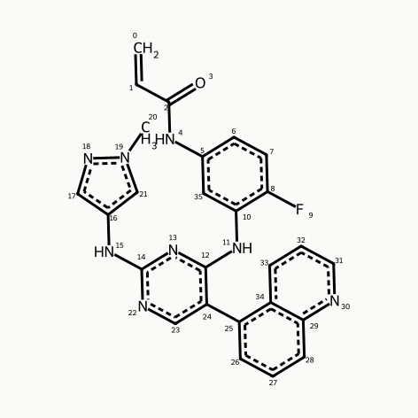 C=CC(=O)Nc1ccc(F)c(Nc2nc(Nc3cnn(C)c3)ncc2-c2cccc3ncccc23)c1